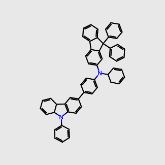 C1=CCC(N(c2ccc(-c3ccc4c(c3)C3C=CC=CC3N4c3ccccc3)cc2)c2ccc3c(c2)C(c2ccccc2)(c2ccccc2)c2ccccc2-3)C=C1